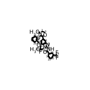 CN1CCOC(c2ccc3c(c2)nc(NC(=O)c2cccc(C(F)F)c2)n3CC(C)(F)COCc2ccccc2)C1=O